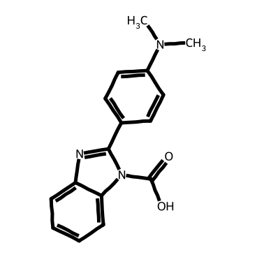 CN(C)c1ccc(-c2nc3ccccc3n2C(=O)O)cc1